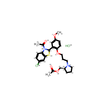 COc1ccc(OCCCN2CCC[C@H]2COC(C)=O)c(C2Sc3cc(Cl)ccc3N2C(C)=O)c1.Cl